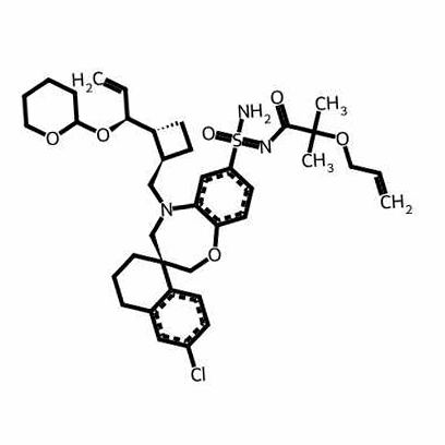 C=CCOC(C)(C)C(=O)N=S(N)(=O)c1ccc2c(c1)N(C[C@@H]1CC[C@H]1[C@H](C=C)OC1CCCCO1)C[C@@]1(CCCc3cc(Cl)ccc31)CO2